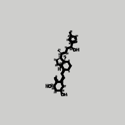 C=C1/C(=C\C=C2/CCC[C@]3(C)[C@@H]([C@H](C)CC[C@H](O)c4cc(C)cs4)CC[C@@H]23)C[C@@H](O)C[C@@H]1O